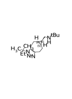 CCC(C)(C)n1nnc2c1CC[C@@H]1[C@H](CC2)[C@@H]1CNC(C)(C)C